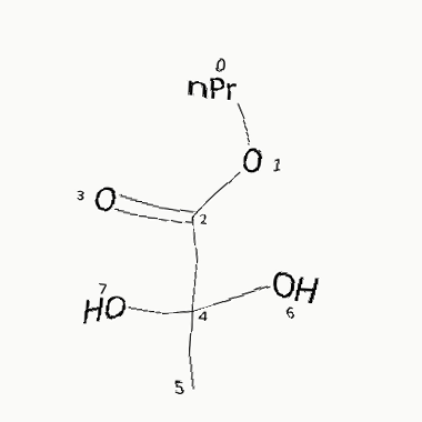 CCCOC(=O)C(C)(O)O